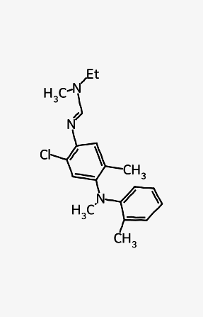 CCN(C)C=Nc1cc(C)c(N(C)c2ccccc2C)cc1Cl